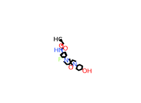 C#CCOC(=O)Nc1ccc(N2CCCC3(CCN([C@H]4CC[C@H](O)CC4)C3=O)C2)c(F)c1